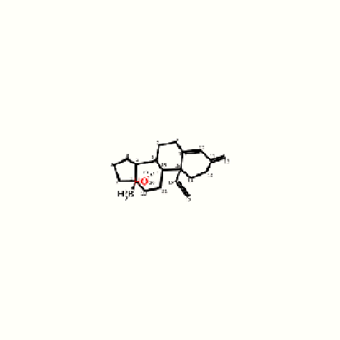 B[C@@]12CCCC1C1CCC3=CC(=C)CC[C@]3(C=C)[C@@]1(CO)CC2